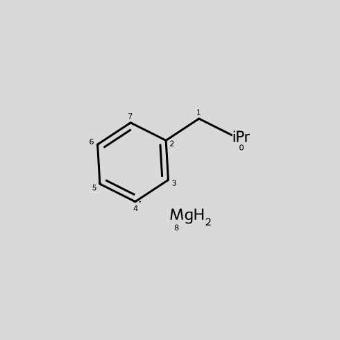 CC(C)Cc1c[c]ccc1.[MgH2]